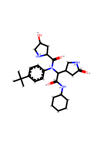 CC(C)(C)c1ccc(N(C(=O)C2CC(O)CN2)C(C(=O)NC2CCCCC2)C2CNC(=O)C2)cc1